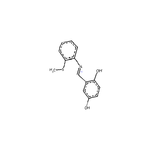 CSc1ccccc1/N=C/c1cc(O)ccc1O